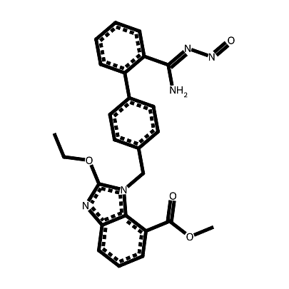 CCOc1nc2cccc(C(=O)OC)c2n1Cc1ccc(-c2ccccc2/C(N)=N/N=O)cc1